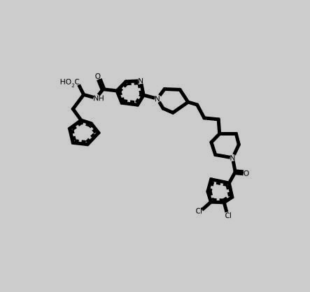 O=C(NC(Cc1ccccc1)C(=O)O)c1ccc(N2CCC(CCCC3CCN(C(=O)c4ccc(Cl)c(Cl)c4)CC3)CC2)nc1